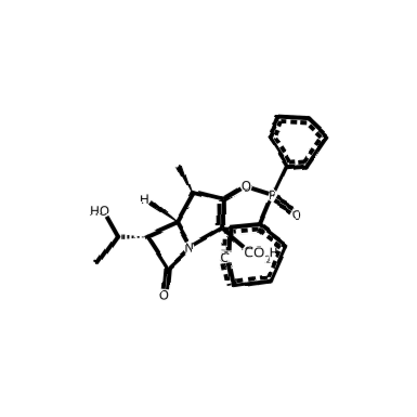 CC(O)[C@H]1C(=O)N2C(C(=O)O)=C(OP(=O)(c3ccccc3)c3ccccc3)[C@H](C)[C@@H]12